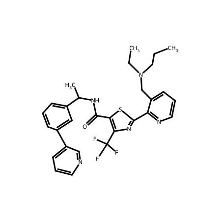 CCCN(CC)Cc1cccnc1-c1nc(C(F)(F)F)c(C(=O)NC(C)c2cccc(-c3cccnc3)c2)s1